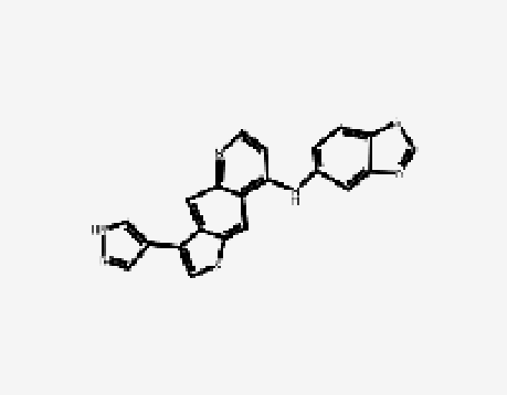 c1cc(Nc2ccc3scnc3c2)c2cc3scc(-c4cn[nH]c4)c3cc2n1